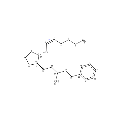 CC(=O)CCC/C=C\C[C@H]1CCC[C@@H]1CCC(O)CCc1ccccc1